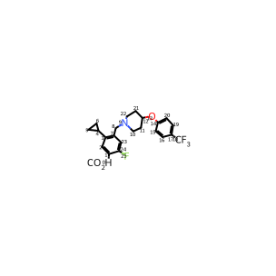 O=C(O)c1cc(C2CC2)c(CN2CCC(Oc3ccc(C(F)(F)F)cc3)CC2)cc1F